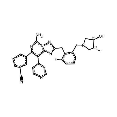 N#Cc1cccc(-c2nc(N)n3nc(Cc4c(F)cccc4CN4C[C@@H](O)[C@H](F)C4)nc3c2-c2ccncn2)c1